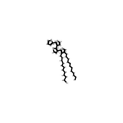 CCCCCCCCCCCCc1csc(-c2ccsc2-c2ccsc2-c2cccs2)c1CCCCCCCCCCCC